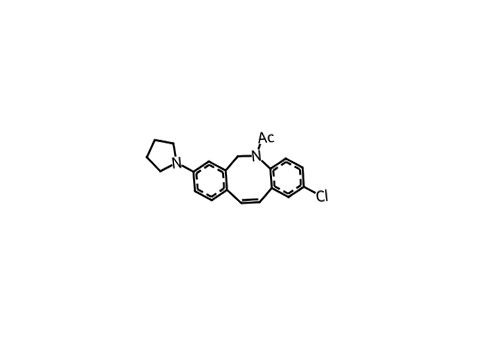 CC(=O)N1Cc2cc(N3CCCC3)ccc2C=Cc2cc(Cl)ccc21